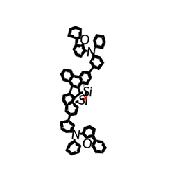 C[Si](C)(C)C1([Si](C)(C)C)c2c(ccc3cc(-c4cccc(N(c5ccccc5)c5cccc6c5oc5ccccc56)c4)ccc23)-c2c1c1ccc(-c3cccc(N(c4ccccc4)c4cccc5c4oc4ccccc45)c3)cc1c1ccccc21